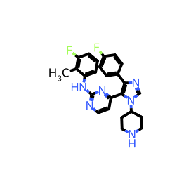 Cc1c(F)cccc1Nc1nccc(-c2c(-c3ccc(F)cc3)ncn2C2CCNCC2)n1